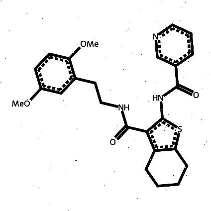 COc1ccc(OC)c(CCNC(=O)c2c(NC(=O)c3cccnc3)sc3c2CCCC3)c1